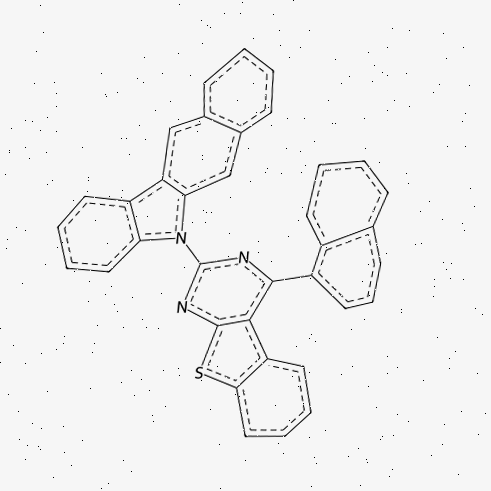 c1ccc2cc3c(cc2c1)c1ccccc1n3-c1nc(-c2cccc3ccccc23)c2c(n1)sc1ccccc12